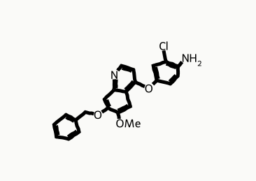 COc1cc2c(Oc3ccc(N)c(Cl)c3)ccnc2cc1OCc1ccccc1